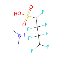 CNC.O=S(=O)(O)C(F)C(F)(F)C(F)(F)C(F)F